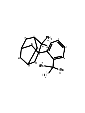 CC(C)(C)C(P)(c1ccccc1C12CC3CC(CC(C3)C1(C)P)C2)C(C)(C)C